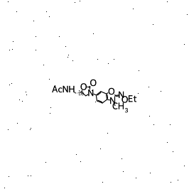 CCON=c1oc2cc(N3C[C@H](CNC(C)=O)OC3=O)ccc2n1C